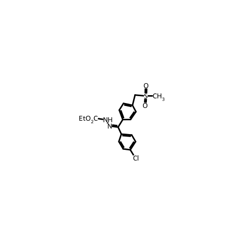 CCOC(=O)NN=C(c1ccc(Cl)cc1)c1ccc(CS(C)(=O)=O)cc1